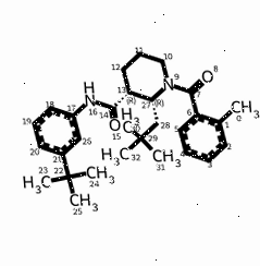 Cc1ccccc1C(=O)N1CCC[C@@H](C(=O)Nc2cccc(C(C)(C)C)c2)[C@H]1CC(C)(C)C